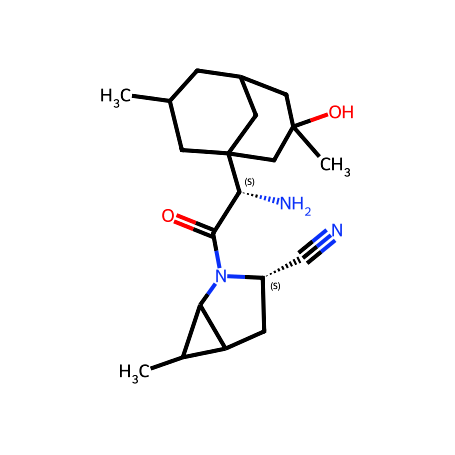 CC1CC2CC(C)(O)CC([C@H](N)C(=O)N3C4C(C)C4C[C@H]3C#N)(C1)C2